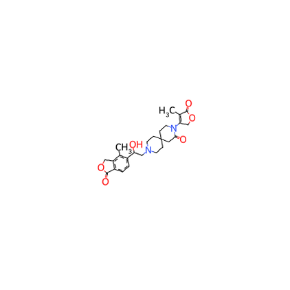 CC1=C(N2CCC3(CCN(CC(O)c4ccc5c(c4C)COC5=O)CC3)CC2=O)COC1=O